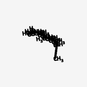 CCCCCCCCCCCCCCCC(=O)Nc1cn(C)c(C(=O)Nc2cc(C(=O)NCCC(=O)Nc3cn(C)c(C(=O)Nc4cc(C(=O)NCCC(=O)Nc5cc(C(=O)NCCC(=O)O)n(C)c5)n(C)c4)n3)n(C)c2)n1